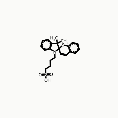 CC1(C)c2ccccc2N(CCCCS(=O)(=O)O)C12C=Cc1ccccc1S2